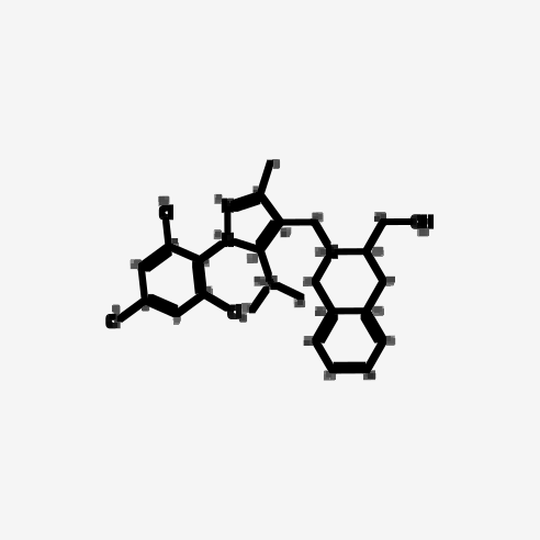 Cc1nn(-c2c(Cl)cc(Cl)cc2Cl)c(N(C)C)c1CN1Cc2ccccc2CC1CO